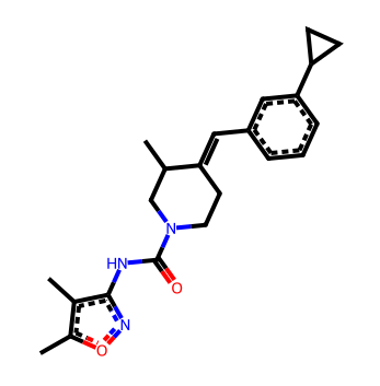 Cc1onc(NC(=O)N2CC/C(=C\c3cccc(C4CC4)c3)C(C)C2)c1C